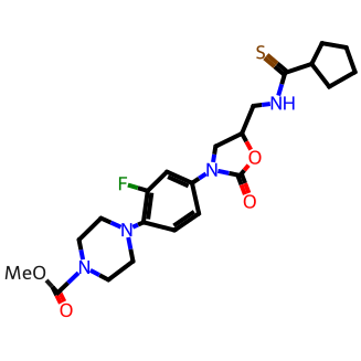 COC(=O)N1CCN(c2ccc(N3CC(CNC(=S)C4CCCC4)OC3=O)cc2F)CC1